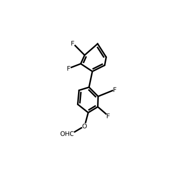 O=COc1ccc(-c2cccc(F)c2F)c(F)c1F